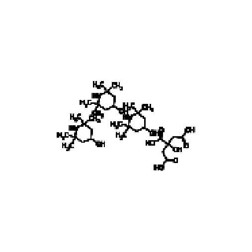 CC1(C)CC(O)CC(C)(C)N1.CC1(C)CC(O)CC(C)(C)N1.CC1(C)CC(O)CC(C)(C)N1.O=C(O)CC(O)(CC(=O)O)C(=O)O